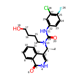 C[C@H](c1c[nH]c(=O)c2ccccc12)N(CCCCO)C(=O)Nc1ccc(F)c(Cl)c1